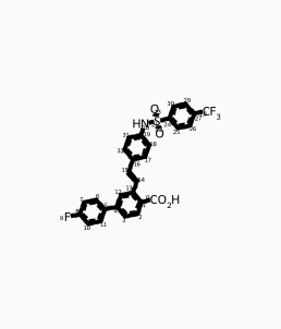 O=C(O)c1ccc(-c2ccc(F)cc2)cc1C=Cc1ccc(NS(=O)(=O)c2ccc(C(F)(F)F)cc2)cc1